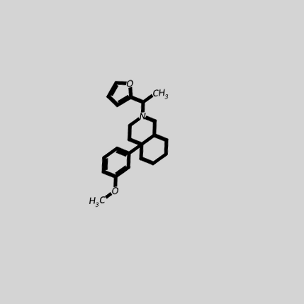 COc1cccc(C23CCCCC2CN(C(C)c2ccco2)CC3)c1